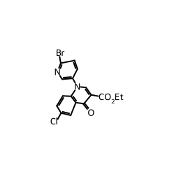 CCOC(=O)c1cn(-c2ccc(Br)nc2)c2ccc(Cl)cc2c1=O